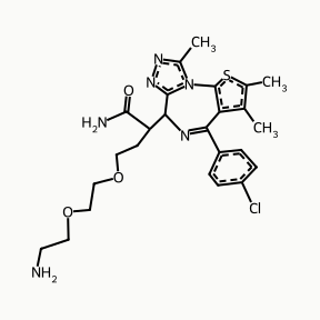 Cc1sc2c(c1C)C(c1ccc(Cl)cc1)=NC(C(CCOCCOCCN)C(N)=O)c1nnc(C)n1-2